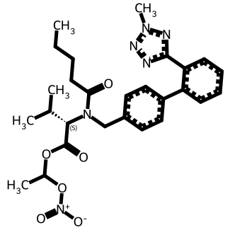 CCCCC(=O)N(Cc1ccc(-c2ccccc2-c2nnn(C)n2)cc1)[C@H](C(=O)OC(C)O[N+](=O)[O-])C(C)C